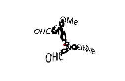 COc1ccc(N(c2ccc(C=O)cc2)c2ccc(-c3ccc(N(c4ccc(C=O)cc4)c4ccc(OC)cc4)cc3)cc2)cc1